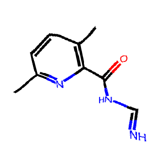 Cc1ccc(C)c(C(=O)NC=N)n1